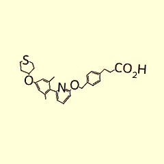 Cc1cc(OC2CCSCC2)cc(C)c1-c1cccc(OCc2ccc(CCC(=O)O)cc2)n1